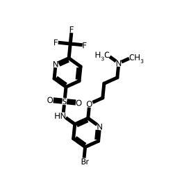 CN(C)CCCOc1ncc(Br)cc1NS(=O)(=O)c1ccc(C(F)(F)F)nc1